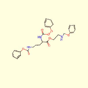 O=C(NC(CCCNC(=O)Oc1ccccc1)C(=O)OCCNCOc1ccccc1)OOc1ccccc1